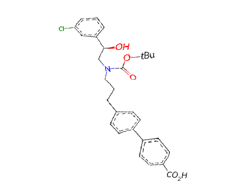 CC(C)(C)OC(=O)N(CCCc1ccc(-c2ccc(C(=O)O)cc2)cc1)C[C@H](O)c1cccc(Cl)c1